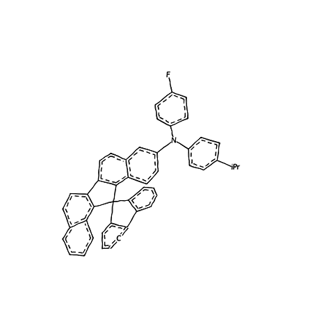 CC(C)c1ccc(N(c2ccc(F)cc2)c2ccc3c4c(ccc3c2)-c2ccc3ccccc3c2C42c3ccccc3-c3ccccc32)cc1